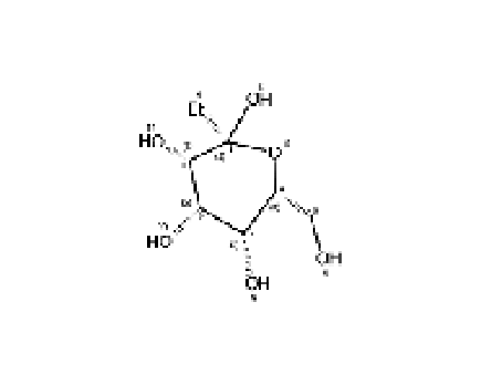 [CH2]C[C@]1(O)O[C@H](CO)[C@H](O)[C@H](O)[C@@H]1O